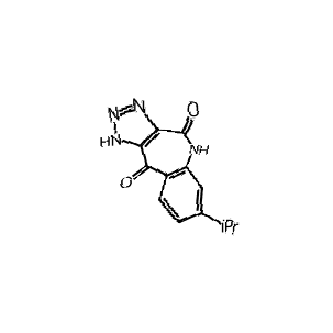 CC(C)c1ccc2c(=O)c3[nH]nnc3c(=O)[nH]c2c1